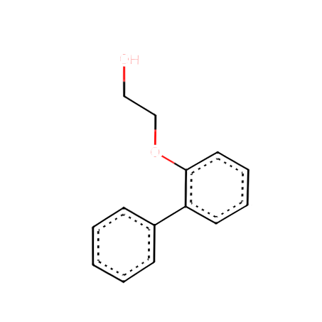 OCCOc1cc[c]cc1-c1ccccc1